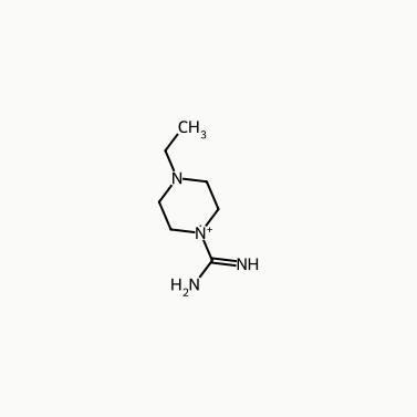 CCN1CC[N+](C(=N)N)CC1